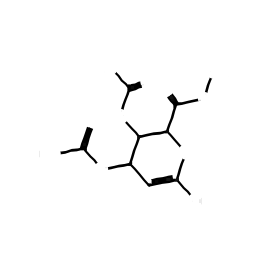 COC(=O)C1OC(O)=CC(OC(C)=O)C1OC(C)=O